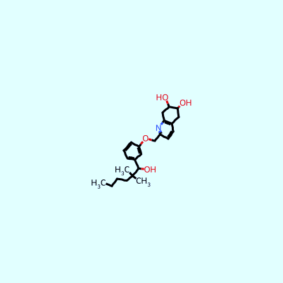 CCCCC(C)(C)C(O)c1cccc(OCc2ccc3c(n2)CC(O)C(O)C3)c1